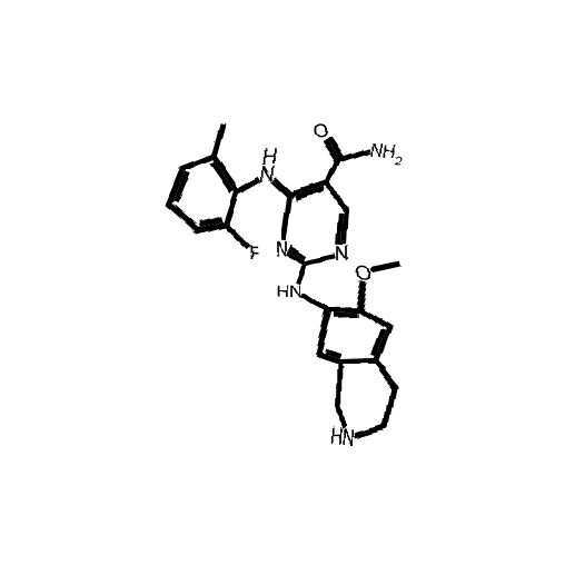 COc1cc2c(cc1Nc1ncc(C(N)=O)c(Nc3c(C)cccc3F)n1)CNCC2